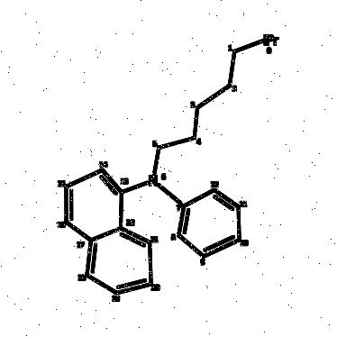 CC(C)CCCCCN(c1ccccc1)c1cccc2ccccc12